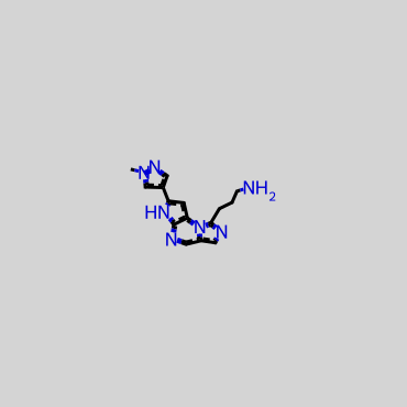 Cn1cc(-c2cc3c(ncc4cnc(CCCN)n43)[nH]2)cn1